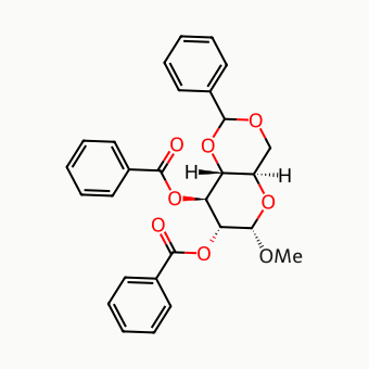 CO[C@H]1O[C@@H]2COC(c3ccccc3)O[C@H]2[C@H](OC(=O)c2ccccc2)[C@H]1OC(=O)c1ccccc1